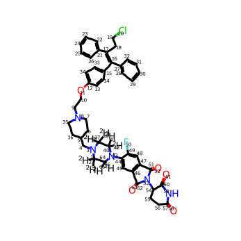 [2H]C1([2H])N(CC2CCN(CCOc3ccc(C(=C(CCCl)c4ccccc4)c4ccccc4)cc3)CC2)C([2H])([2H])C([2H])([2H])N(c2cc3c(cc2F)C(=O)N(C2CCC(=O)NC2=O)C3=O)C1([2H])[2H]